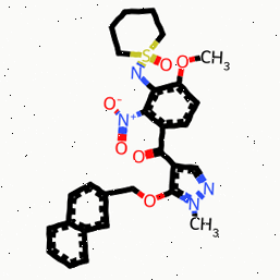 COc1ccc(C(=O)c2cnn(C)c2OCc2ccc3ccccc3c2)c([N+](=O)[O-])c1N=S1(=O)CCCCC1